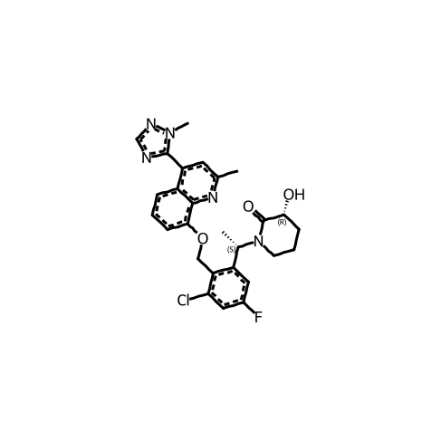 Cc1cc(-c2ncnn2C)c2cccc(OCc3c(Cl)cc(F)cc3[C@H](C)N3CCC[C@@H](O)C3=O)c2n1